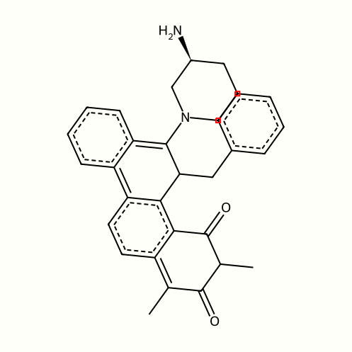 CC1=c2ccc3c(c2C(=O)C(C)C1=O)C(Cc1ccccc1)C(N1CCC[C@H](N)C1)=c1ccccc1=3